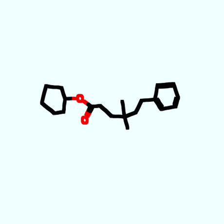 CC(C)(CCC(=O)OC1CCCCC1)CCc1ccccc1